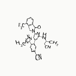 C[C@@H](CC#N)Nc1cc(-c2cc(C#N)ccc2-c2nncn2C)cc(N2Cc3c(cccc3C(F)(F)F)C2=O)n1